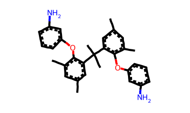 Cc1cc(C)c(Oc2cccc(N)c2)c(C(C)(C)c2cc(C)cc(C)c2Oc2cccc(N)c2)c1